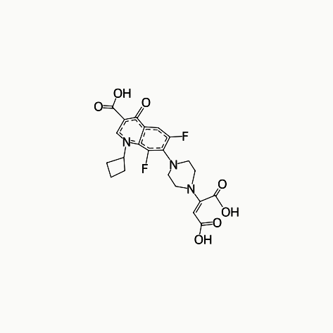 O=C(O)C=C(C(=O)O)N1CCN(c2c(F)cc3c(=O)c(C(=O)O)cn(C4CCC4)c3c2F)CC1